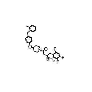 BC(CC(=O)N1CCC(Oc2ccc(Cc3ccccc3C)cc2)CC1)Cc1cc(F)c(F)cc1F